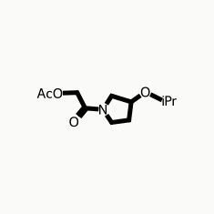 CC(=O)OCC(=O)N1CCC(OC(C)C)C1